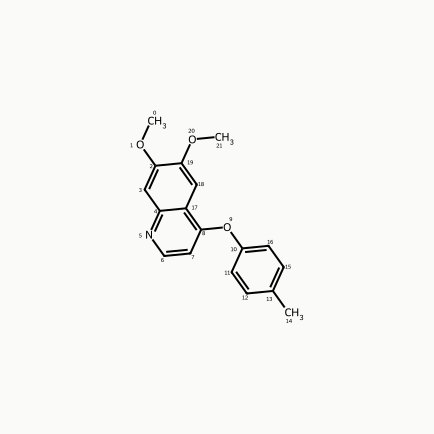 COc1cc2nccc(Oc3ccc(C)cc3)c2cc1OC